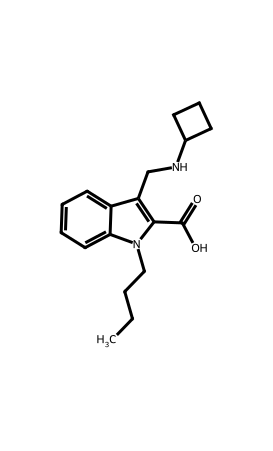 CCCCn1c(C(=O)O)c(CNC2CCC2)c2ccccc21